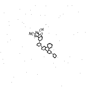 N#Cc1nc(C#N)c2oc3ccc(-c4cccc(-c5ccc6c7ccc(-c8ccccc8)cc7c7ccccc7c6c5)c4)cc3c2n1